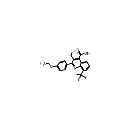 CCOc1ccc(-c2nc3c(C(F)(F)F)cccc3c(C(=O)O)c2CC)cc1